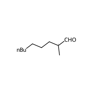 CCCCCCC[C](C)C=O